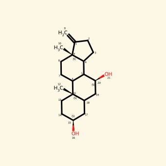 C=C1CCC2C3C(CC[C@]12C)[C@@]1(C)CC[C@H](O)CC1C[C@@H]3O